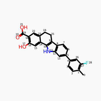 Cc1ccc(-c2ccc3c4c([nH]c3c2)-c2cc(O)c(C(=O)O)cc2CC4)cc1F